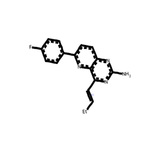 CC/C=C/c1nc(N)nc2ccc(-c3ccc(F)cc3)nc12